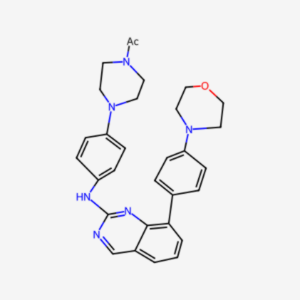 CC(=O)N1CCN(c2ccc(Nc3ncc4cccc(-c5ccc(N6CCOCC6)cc5)c4n3)cc2)CC1